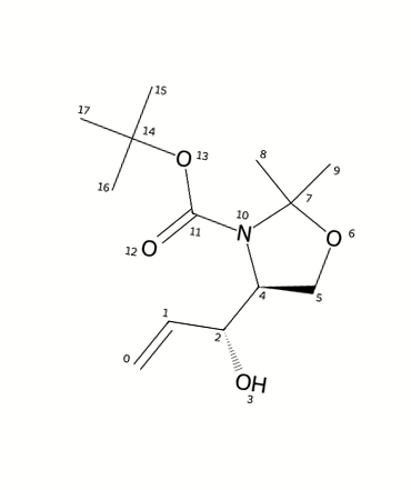 C=C[C@@H](O)[C@@H]1COC(C)(C)N1C(=O)OC(C)(C)C